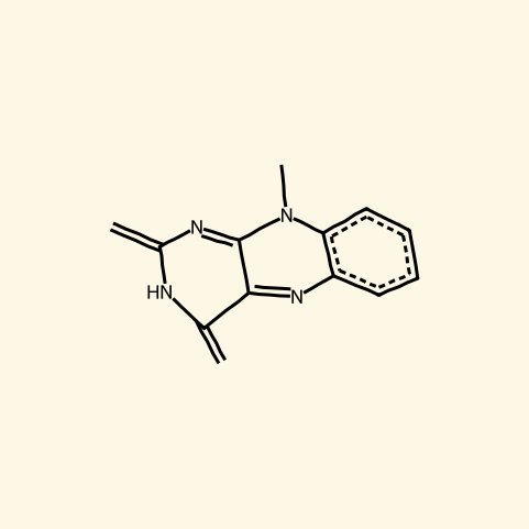 C=C1N=C2C(=Nc3ccccc3N2C)C(=C)N1